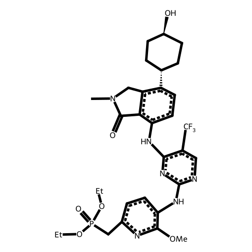 CCOP(=O)(Cc1ccc(Nc2ncc(C(F)(F)F)c(Nc3ccc([C@H]4CC[C@H](O)CC4)c4c3C(=O)N(C)C4)n2)c(OC)n1)OCC